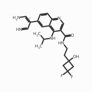 CC(C)Nc1c(C(=O)NCCC2(O)CC(F)(F)C2)cnc2ccc(/C(C=N)=C/N)cc12